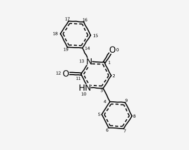 O=c1cc(-c2ccccc2)[nH]c(=O)n1-c1ccccc1